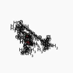 CC[C@H](C)[C@@H]([C@@H](CC(=O)N1CCC[C@H]1C[C@@H](C)C(=O)N[C@H](C)[C@@H](O)c1ccccc1)OC)N(C)C(=O)[C@@H](NC(=O)[C@H](C(C)C)N(C)C(=O)OCc1ccc(NC(=O)[C@H](CCCNC(N)=O)NC(=O)[C@@H](NC(=O)[C@H](CCC(=O)O)NC(=O)CCOCCOCCOCCOCCC(=O)NCCNc2ncc(-c3cc(C)cc(F)c3)c(N3CCC(N)CC3)c2-c2nc3ccc(Cl)cc3[nH]2)C(C)C)cc1C(=O)NCCN)C(C)C